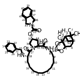 CC1(C)C2CC3OB([C@@H]4CCCCCCCCC[C@H](NCc5ccccc5)C(=O)N5C[C@H](OC(=O)N6Cc7ccccc7C6)C[C@H]5C(=O)N4)OC3(C)C1C2